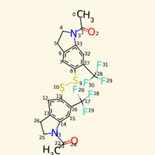 CC(=O)N1CCc2cc(SSc3cc4c(cc3C(F)(F)F)N(C(C)=O)CC4)c(C(F)(F)F)cc21